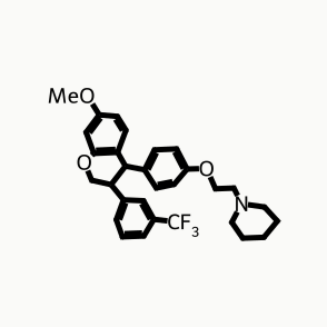 COc1ccc2c(c1)OCC(c1cccc(C(F)(F)F)c1)C2c1ccc(OCCN2CCCCC2)cc1